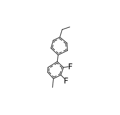 CCc1ccc(-c2ccc(C)c(F)c2F)cc1